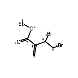 C=C(C(=O)OCC)C(Br)CBr